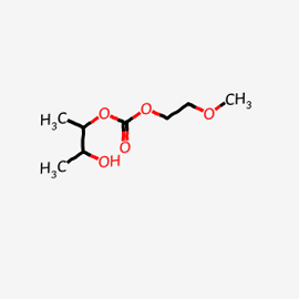 COCCOC(=O)OC(C)C(C)O